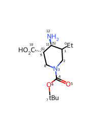 CCC1CN(C(=O)OC(C)(C)C)C[C@H](C(=O)O)[C@H]1N